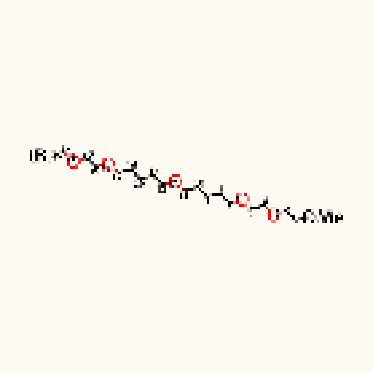 COCCOCCOCCCCCOCCCCCOCCOCC(C)(C)C